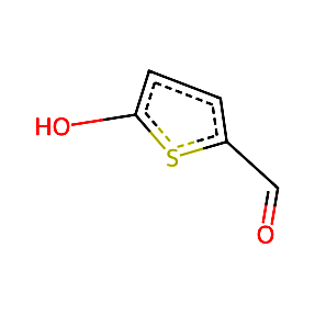 O=Cc1ccc(O)s1